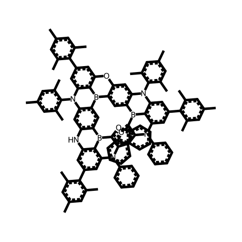 Cc1cc(C)c(-c2cc3c4c(c2)N(c2ccccc2)c2c(oc5ccccc25)B4c2cc4c(cc2N3)N(c2c(C)cc(C)cc2C)c2cc(-c3c(C)cc(C)cc3C)cc3c2B4c2cc4c(cc2O3)N(c2c(C)cc(C)cc2C)c2cc(-c3c(C)cc(C)cc3C)cc3c2B4c2oc4ccccc4c2N3c2ccccc2)c(C)c1